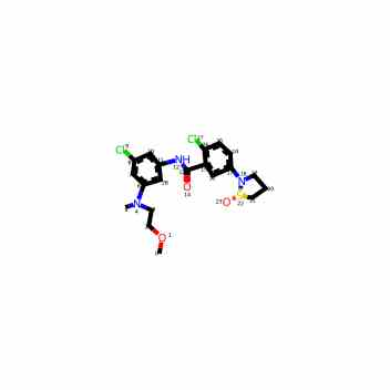 COCCN(C)c1cc(Cl)cc(NC(=O)c2cc(N3CCC[S+]3[O-])ccc2Cl)c1